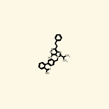 CC(C)c1nc2c(CCc3ccccc3)nnc(O)c2n1Cc1ccc(-c2ccccc2C(=O)O)cc1